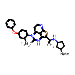 C=C(NC1CCC(NC)C1)c1sc2nccc3c2c1[nH]c(=C)n3-c1ccc(Oc2ccccc2)cc1C